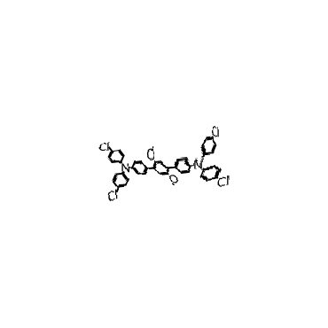 COc1cc(-c2ccc(N(c3ccc(Cl)cc3)c3ccc(Cl)cc3)cc2)c(OC)cc1-c1ccc(N(c2ccc(Cl)cc2)c2ccc(Cl)cc2)cc1